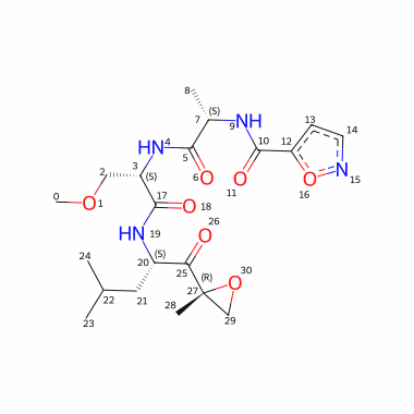 COC[C@H](NC(=O)[C@H](C)NC(=O)c1ccno1)C(=O)N[C@@H](CC(C)C)C(=O)[C@@]1(C)CO1